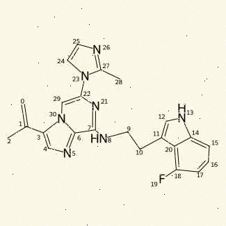 C=C(C)c1cnc2c(NCCc3c[nH]c4cccc(F)c34)nc(-n3ccnc3C)cn12